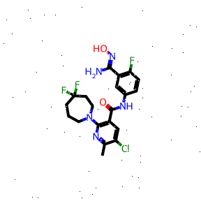 Cc1nc(N2CCCC(F)(F)CC2)c(C(=O)Nc2ccc(F)c(C(N)=NO)c2)cc1Cl